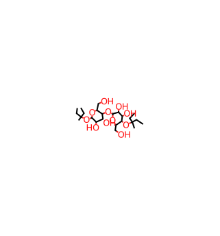 CCC(C)(CC)OC1OC(CO)C(OC2OC(CO)C(OC(C)(CC)CC)C(O)C2O)C(O)C1O